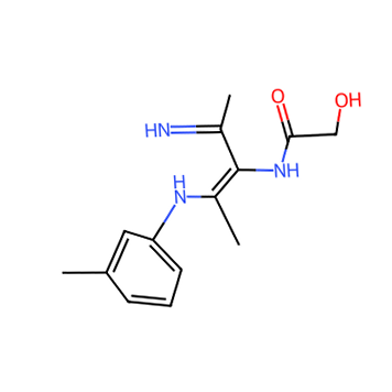 CC(=N)/C(NC(=O)CO)=C(/C)Nc1cccc(C)c1